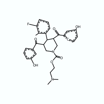 Cc1c(F)cccc1C1C(C(=O)c2cccc(O)c2)CN(C(=O)OCCN(C)C)CC1C(=O)c1cccc(O)c1